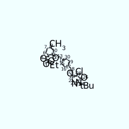 CCOS(=O)(=O)c1ccc(C)cc1OCc1ccc(COc2cnn(C(C)(C)C)c(=O)c2Cl)cc1